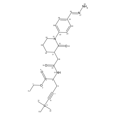 CCOC(=O)C(CC#C[Si](C)(C)C)NC(=O)CC1CCCN(c2ccc(C=NN)cc2)C1=O